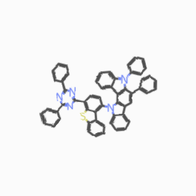 c1ccc(-c2nc(-c3ccccc3)nc(-c3ccc(-n4c5ccccc5c5cc(-c6ccccc6)c6c(c7ccccc7n6-c6ccccc6)c54)c4c3sc3ccccc34)n2)cc1